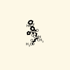 COC(=O)/C=C/[C@@H](C)NC(=O)Cn1c(=O)c2cc(F)c(NC3CCCCC3)cc2n(C2CCCC2)c1=O